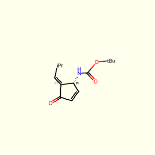 CC(C)/C=C1/C(=O)C=C[C@H]1NC(=O)OC(C)(C)C